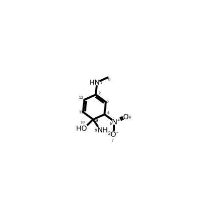 CNC1=CC([N+](=O)[O-])C(N)(O)C=C1